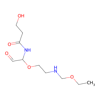 CCOCNCCOC(C=O)NC(=O)CCO